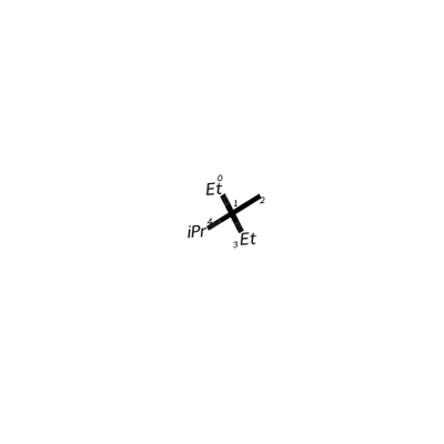 [CH2]CC(C)(CC)C(C)C